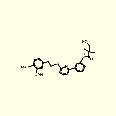 COc1ccc(CCOc2cccc(-c3cccc(NC(=O)C(C)(C)CO)c3)n2)cc1OC